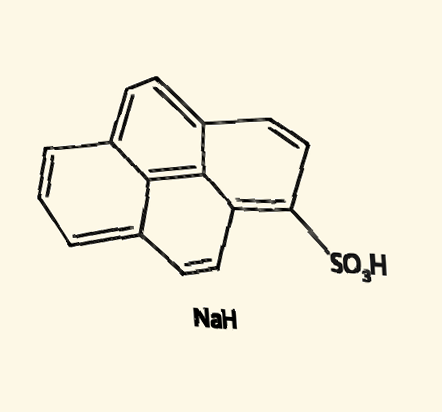 O=S(=O)(O)c1ccc2ccc3cccc4ccc1c2c34.[NaH]